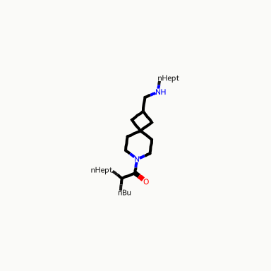 CCCCCCCNCC1CC2(CCN(C(=O)C(CCCC)CCCCCCC)CC2)C1